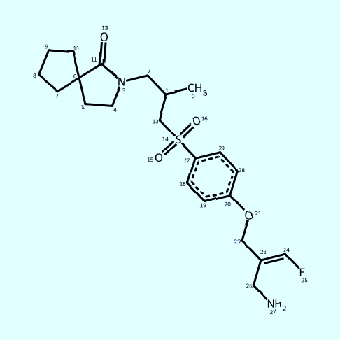 CC(CN1CCC2(CCCC2)C1=O)CS(=O)(=O)c1ccc(OCC(=CF)CN)cc1